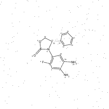 Nc1cc(F)c(N2C(=O)OC[C@@H]2c2ccccc2)cc1N